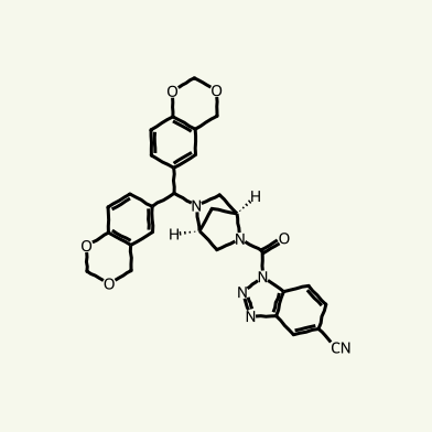 N#Cc1ccc2c(c1)nnn2C(=O)N1C[C@@H]2C[C@H]1CN2C(c1ccc2c(c1)COCO2)c1ccc2c(c1)COCO2